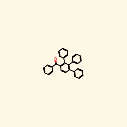 O=C(c1ccccc1)c1ccc(-c2ccccc2)c(-c2ccccc2)c1-c1ccccc1